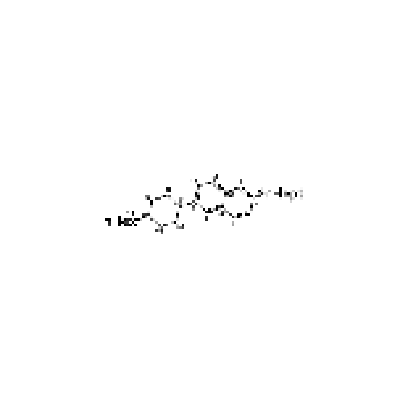 CCCCCCCc1ccc2cc(C3CCC(CCCCCC)CC3)ccc2c1